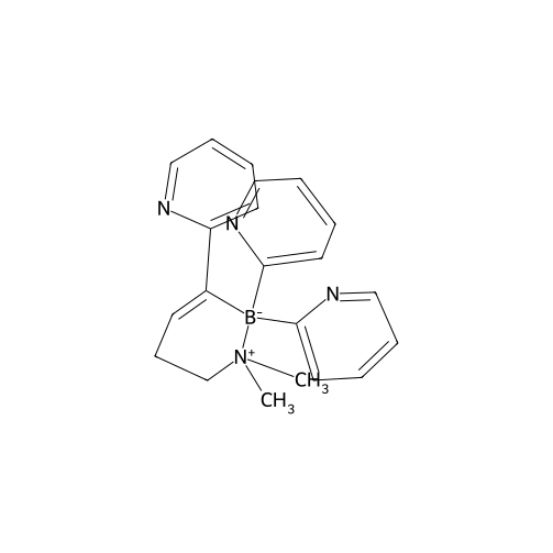 C[N+]1(C)CCC=C(c2ccccn2)[B-]1(c1ccccn1)c1ccccn1